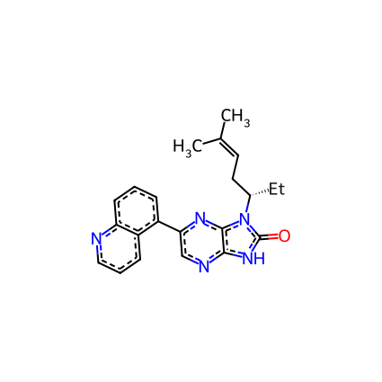 CC[C@@H](CC=C(C)C)n1c(=O)[nH]c2ncc(-c3cccc4ncccc34)nc21